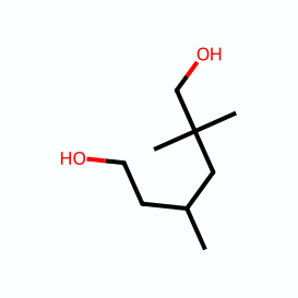 CC(CCO)CC(C)(C)CO